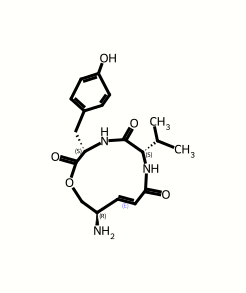 CC(C)[C@@H]1NC(=O)/C=C/[C@@H](N)COC(=O)[C@H](Cc2ccc(O)cc2)NC1=O